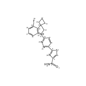 NC(=O)c1csc(-c2ccc(NCC3(c4ncccc4F)CCC3)nn2)n1